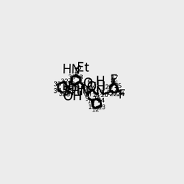 CCNc1cc(C(=O)N[C@@H](Cc2ccccc2)[C@@H](O)CNCc2cc(F)cc(F)c2)cc(N2CCCCS2(O)O)c1